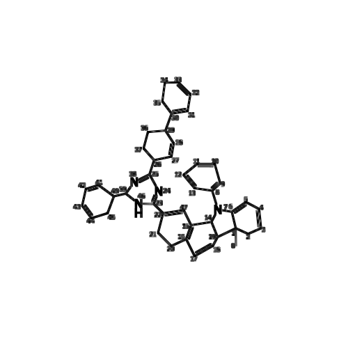 CC12CC=CC=C1N(c1ccccc1)C1C3=C(C=CC12)CCC(C1=NC(C2C=CC(C4=CC=CCC4)CC2)=NC(C2C=CC=CC2)N1)=C3